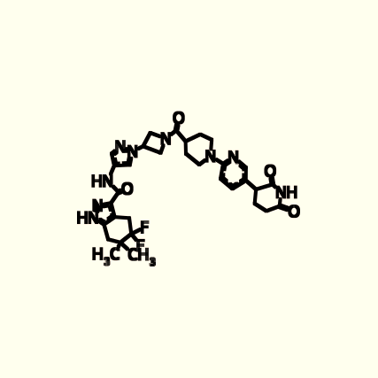 CC1(C)Cc2[nH]nc(C(=O)Nc3cnn(C4CN(C(=O)C5CCN(c6ccc(C7CCC(=O)NC7=O)cn6)CC5)C4)c3)c2CC1(F)F